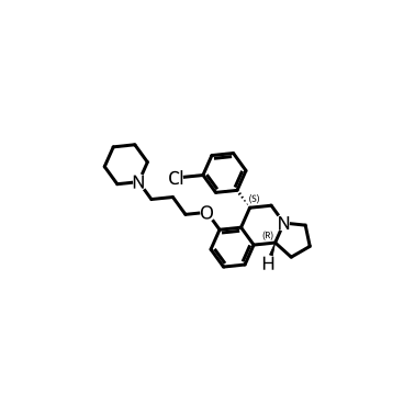 Clc1cccc([C@@H]2CN3CCC[C@@H]3c3cccc(OCCCN4CCCCC4)c32)c1